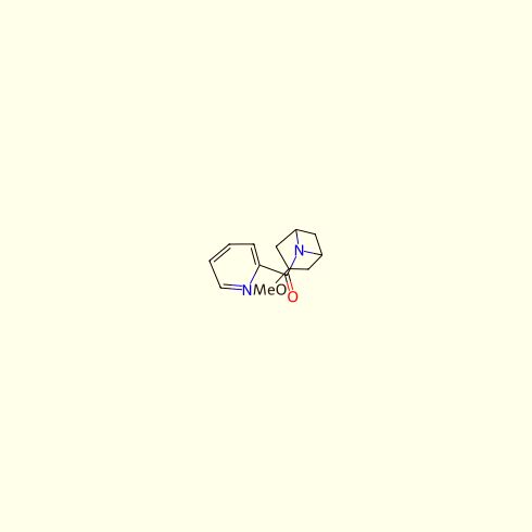 COC1CC2CC(C1)N2C(=O)c1ccccn1